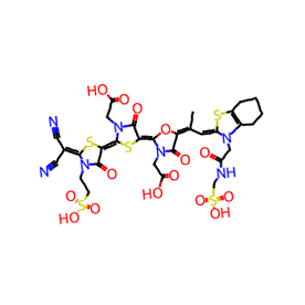 C/C(C=C1SC2=C(CCCC2)N1CC(=O)NCS(=O)(=O)O)=c1\o/c(=c2/s/c(=c3/sc(=C(C#N)C#N)n(CCS(=O)(=O)O)c3=O)n(CC(=O)O)c2=O)n(CC(=O)O)c1=O